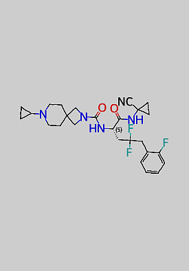 N#CC1(NC(=O)[C@H](CC(F)(F)Cc2ccccc2F)NC(=O)N2CC3(CCN(C4CC4)CC3)C2)CC1